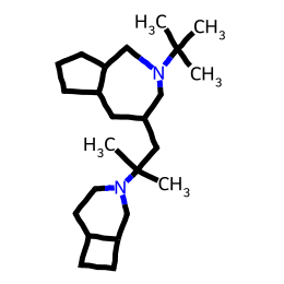 CC(C)(C)N1CC(CC(C)(C)N2CCC3CCC3C2)CC2CCCC2C1